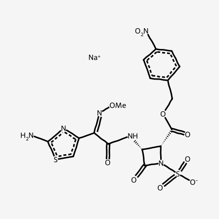 CON=C(C(=O)N[C@H]1C(=O)N(S(=O)(=O)[O-])[C@H]1C(=O)OCc1ccc([N+](=O)[O-])cc1)c1csc(N)n1.[Na+]